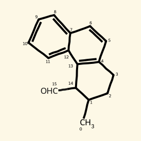 CC1CCc2ccc3ccccc3c2C1C=O